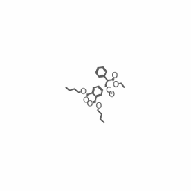 CCCCOC(=O)c1ccccc1C(=O)OCCCC.CCOC(=O)C(C=C=O)c1ccccc1